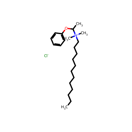 CCCCCCCCCCCC[N+](C)(C)C(C)Oc1ccccc1.[Cl-]